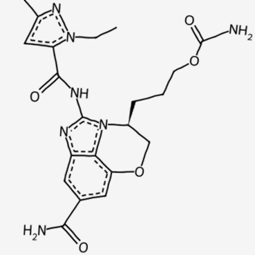 CCn1nc(C)cc1C(=O)Nc1nc2cc(C(N)=O)cc3c2n1[C@@H](CCCOC(N)=O)CO3